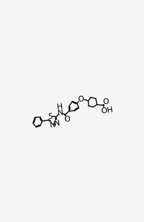 O=C(Nc1nnc(-c2ccccc2)s1)c1ccc(OC2CCC(C(=O)O)CC2)cc1